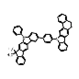 CC1(C)c2ccccc2-c2cc3c4cc(-c5ccc(-n6c7ccccc7c7cc8c(cc76)-c6ccccc6CC8)cc5)ccc4n(-c4ccccc4)c3cc21